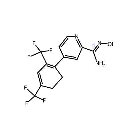 N/C(=N\O)c1cc(C2=C(C(F)(F)F)C=C(C(F)(F)F)CC2)ccn1